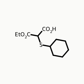 CCOC(=O)C(SC1CCCCC1)C(=O)O